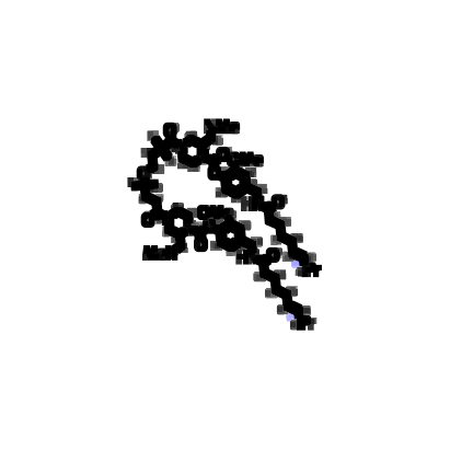 CNCC1CN(C(=O)CCC(C)(C)OCCC(C)(C)C(=O)N2CCN(C(=O)Oc3ccc(CNC(=O)CCCC/C=C/C(C)C)cc3OC)C(CNC)C2)CCN1C(=O)Oc1ccc(CNC(=O)CCCC/C=C/C(C)C)cc1OC